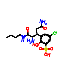 CCCCNC(=O)[C@@H](N)C(CC(N)=O)c1cc(Cl)cc(S(=O)(=O)O)c1O